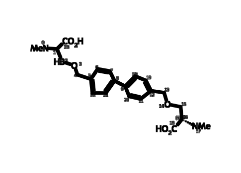 CNC(BOCc1ccc(-c2ccc(COC[C@H](NC)C(=O)O)cc2)cc1)C(=O)O